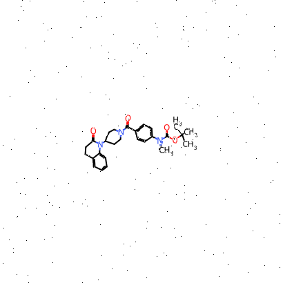 CN(C(=O)OC(C)(C)C)c1ccc(C(=O)N2CCC(N3C(=O)CCc4ccccc43)CC2)cc1